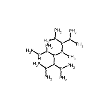 CP(P(P(P)P)P(P)P)P(P(P)PP)P(P(P)P)P(P)P